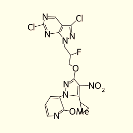 COc1ncccc1-n1nc(OCC(F)Cn2nc(Cl)c3cnc(Cl)nc32)c([N+](=O)[O-])c1C1CC1